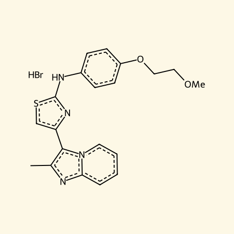 Br.COCCOc1ccc(Nc2nc(-c3c(C)nc4ccccn34)cs2)cc1